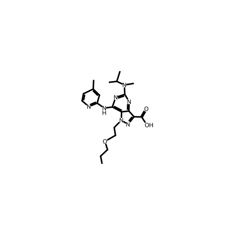 CCCOCCn1nc(C(=O)O)c2nc(N(C)C(C)C)nc(Nc3cc(C)ccn3)c21